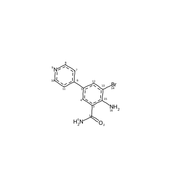 NC(=O)c1cc(-c2ccncc2)cc(Br)c1N